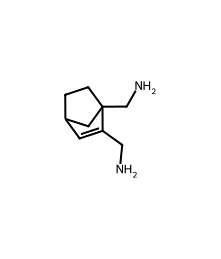 NCC1=CC2CCC1(CN)C2